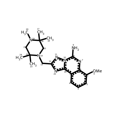 COc1cccc2c1nc(N)n1nc(CN3CC(C)(C)N(C)CC3(C)C)nc21